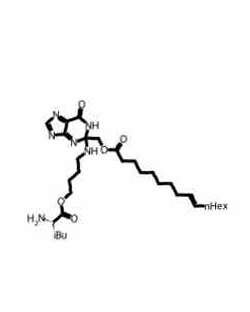 CCCCCCC=CCCCCCCCC(=O)OCC1(NCCCCOC(=O)[C@@H](N)[C@@H](C)CC)N=C2N=CN=C2C(=O)N1